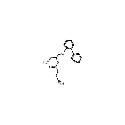 C#CCOS(=O)OC(CC)COc1ccccc1-c1ccccc1